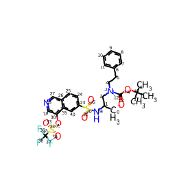 CC(CN(CCc1ccccc1)C(=O)OC(C)(C)C)NS(=O)(=O)c1ccc2cncc(OS(=O)(=O)C(F)(F)F)c2c1